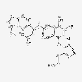 CCOc1cccc(Cl)c1Cn1cc(C)c(O)c(NC(=O)N[C@@H](CC(=O)O)c2ccc3ccn(C)c3c2)c1=O